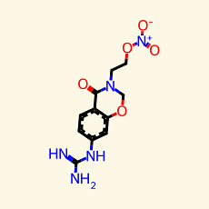 N=C(N)Nc1ccc2c(c1)OCN(CCO[N+](=O)[O-])C2=O